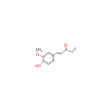 COc1cc(C=CC(=O)CI)ccc1O